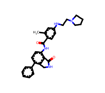 Cc1cc(NCCN2CCCC2)ccc1C(=O)Nc1ccc(-c2ccccc2)c2c1C(=O)NC2